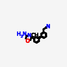 CC1(c2cccc(-c3cccc(CC#N)c3)c2)COCC(N)=N1